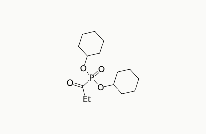 CCC(=O)P(=O)(OC1CCCCC1)OC1CCCCC1